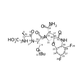 C[C@H](NC(=O)O)C(=O)N(C)[C@@H](COC(C)(C)C)C(=O)N1C[C@@]2(C[C@H]1C(N)=O)Oc1cc(F)cc(F)c1NC2=O